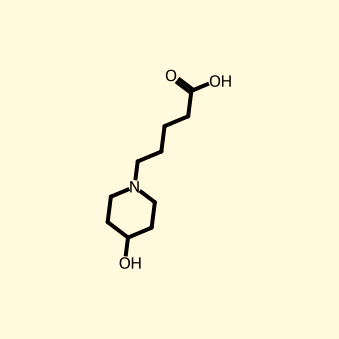 O=C(O)CCCCN1CCC(O)CC1